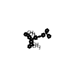 CC1(C)c2ccccc2-c2cc3c4cc5c(cc4n(-c4ccc(C#Cc6ccc(N(c7ccccc7)c7ccccc7)cc6)cc4)c3cc21)C(C)(C)c1ccccc1-5